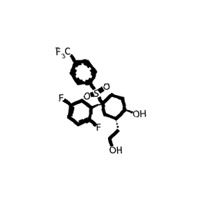 O=S(=O)(c1ccc(C(F)(F)F)cc1)[C@]1(C2CC(F)=CC=C2F)CC[C@@H](O)[C@H](CCO)C1